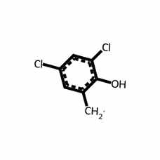 [CH2]c1cc(Cl)cc(Cl)c1O